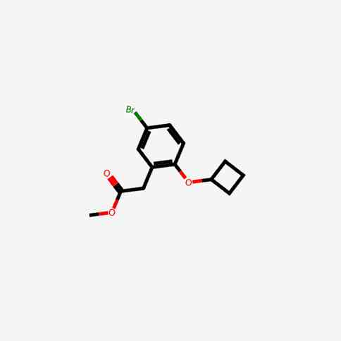 COC(=O)Cc1cc(Br)ccc1OC1CCC1